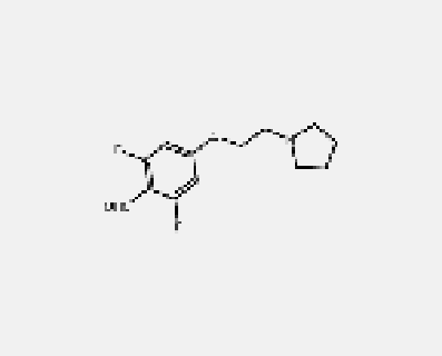 O=Cc1c(F)cc(OCCN2CCCC2)cc1F